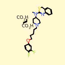 CN(C1=Nc2ccccc2CS1)C1CCN(CCCCCOc2ccc(F)c(F)c2)CC1.O=C(O)/C=C/C(=O)O